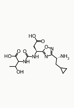 CC(O)C(NC(=O)N[C@@H](CC(=O)O)c1nc([C@H](N)CC2CC2)no1)C(=O)O